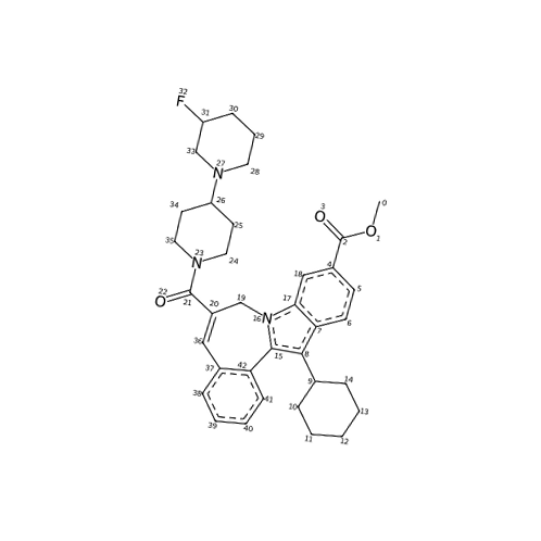 COC(=O)c1ccc2c(C3CCCCC3)c3n(c2c1)CC(C(=O)N1CCC(N2CCCC(F)C2)CC1)=Cc1ccccc1-3